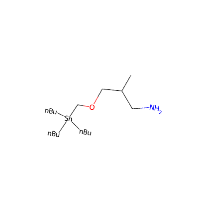 CCC[CH2][Sn]([CH2]CCC)([CH2]CCC)[CH2]OCC(C)CN